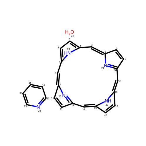 C1=Cc2cc3ccc(cc4nc(cc5ccc(cc1n2)[nH]5)C=C4)[nH]3.O.c1ccncc1